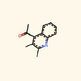 CC(=O)c1c(C)c(C)nc2ccccc12